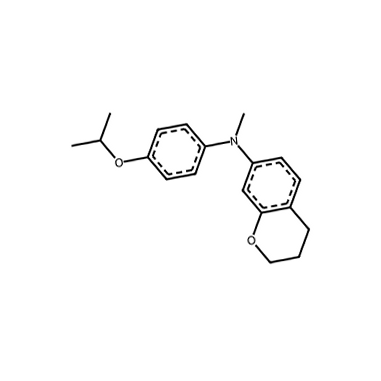 CC(C)Oc1ccc(N(C)c2ccc3c(c2)OCCC3)cc1